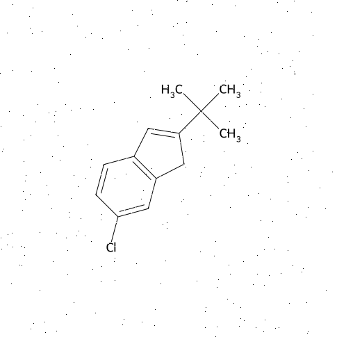 CC(C)(C)C1=Cc2ccc(Cl)cc2C1